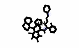 C/C(=C(\c1ccccc1C)C(N)CC/C=C1/C=CC=CC1)c1c2ccccc2c(-c2cccc3ccccc23)c2c(C)c(C)c(C)c(C)c12